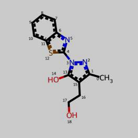 Cc1nn(-c2nc3ccccc3s2)c(O)c1CCO